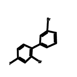 Brc1cccc(-c2ccc(I)cc2Br)c1